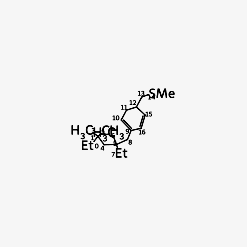 CCC(C)(C)CC(C)(CC)CC1=CCC(CSC)C=C1